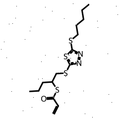 C=CC(=O)SC(CCC)CSc1nnc(SCCCCC)s1